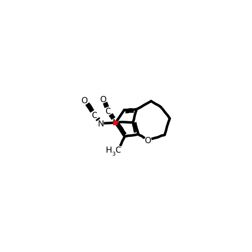 Cc1c(N=C=O)cc2c(N=C=O)c1OCCCC2